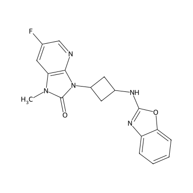 Cn1c(=O)n(C2CC(Nc3nc4ccccc4o3)C2)c2ncc(F)cc21